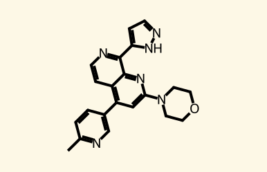 Cc1ccc(-c2cc(N3CCOCC3)nc3c(-c4ccn[nH]4)nccc23)cn1